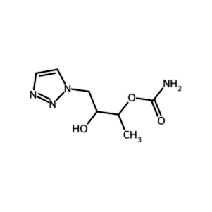 CC(OC(N)=O)C(O)Cn1ccnn1